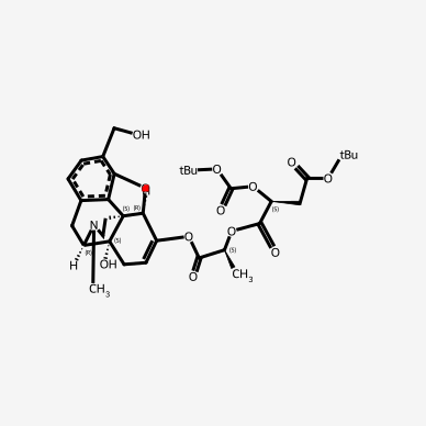 C[C@H](OC(=O)[C@H](CC(=O)OC(C)(C)C)OC(=O)OC(C)(C)C)C(=O)OC1=CC[C@@]2(O)[C@H]3Cc4ccc(CO)c5c4[C@@]2(CCN3C)[C@H]1O5